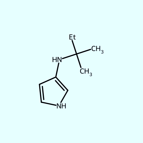 CCC(C)(C)Nc1cc[nH]c1